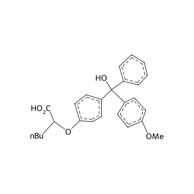 CCCCC(Oc1ccc(C(O)(c2ccccc2)c2ccc(OC)cc2)cc1)C(=O)O